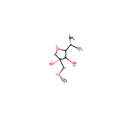 B[C@H](C)C1OC[C@](O)(COC)C1O